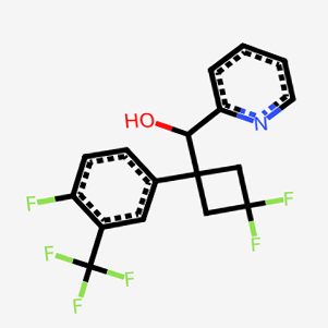 OC(c1ccccn1)C1(c2ccc(F)c(C(F)(F)F)c2)CC(F)(F)C1